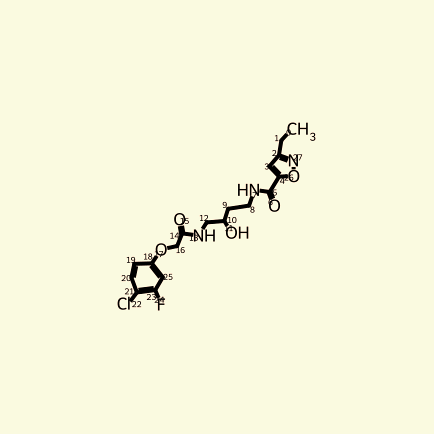 CCc1cc(C(=O)NCCC(O)CNC(=O)COc2ccc(Cl)c(F)c2)on1